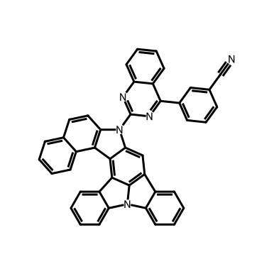 N#Cc1cccc(-c2nc(-n3c4ccc5ccccc5c4c4c5c6ccccc6n6c7ccccc7c(cc43)c56)nc3ccccc23)c1